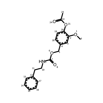 COc1cc(COC(=O)NCCc2ccccc2)ccc1OC(C)=O